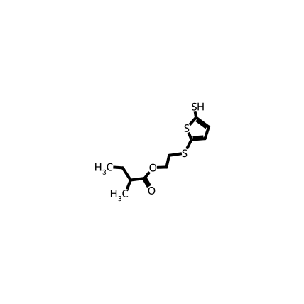 CCC(C)C(=O)OCCSc1ccc(S)s1